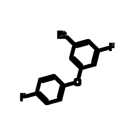 CCc1cc(F)cc(Oc2ccc(F)cc2)c1